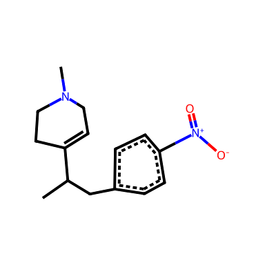 CC(Cc1ccc([N+](=O)[O-])cc1)C1=CCN(C)CC1